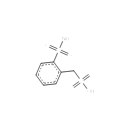 CS(=O)(=O)Cc1ccccc1S(N)(=O)=O